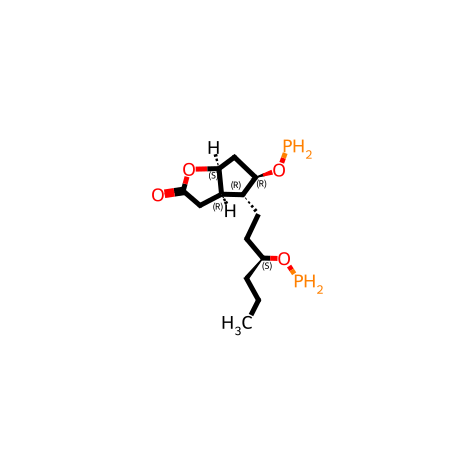 CCC[C@@H](CC[C@@H]1[C@H]2CC(=O)O[C@H]2C[C@H]1OP)OP